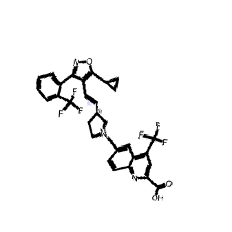 O=C(O)c1cc(C(F)(F)F)c2cc(N3CC[C@@H](/C=C/c4c(-c5ccccc5C(F)(F)F)noc4C4CC4)C3)ccc2n1